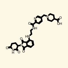 O=C1CCC(N2C(=O)c3cccc(NCCNC(=O)c4ccc(CN5CCC(C(=O)O)CC5)cn4)c3C2=O)C(=O)N1